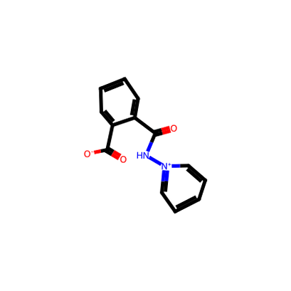 O=C([O-])c1ccccc1C(=O)N[n+]1ccccc1